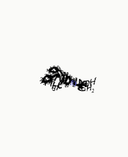 C=C(/C=C/c1ccc2c(c1)nc(C(Cc1ccccc1)NCc1ccccc1)n2C)NO